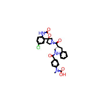 CN(C(=O)O)c1ccc(C(=O)NC[C@@H](Cc2ccccc2)C(=O)N2CCC3(C2)OC(=O)Nc2ccc(Cl)cc23)cc1